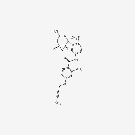 CC#CCOc1cnc(C(=O)Nc2ccc(F)c([C@]3(C)N=C(N)O[C@H]4C[C@H]43)c2)c(C)c1